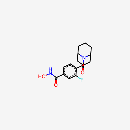 O=C1CC2CCCC(C1)N2Cc1ccc(C(=O)NO)cc1F